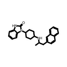 CC(Cc1ccc2ccccc2c1)NC1CCC(n2c(=O)[nH]c3ccccc32)CC1